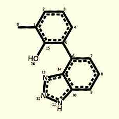 Cc1cccc(-c2cccc3[nH]nnc23)c1O